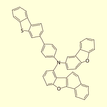 c1ccc2c(c1)ccc1c2oc2cccc(N(c3ccc(-c4ccc5c(c4)sc4ccccc45)cc3)c3ccc4oc5ccccc5c4c3)c21